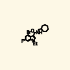 CCn1cc(C(=O)NCC2CCCCCC2)c2c(Br)cc(F)cc21